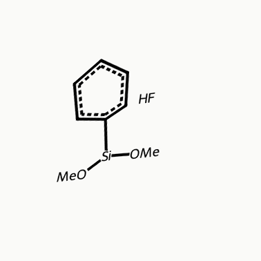 CO[Si](OC)c1ccccc1.F